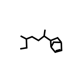 CCC(C)CCC(C)C1CC2C=CC1C2